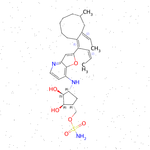 C\C=C/C(=C1/CCCCCC(C)C/C1=C/C)c1cc2nccc(N[C@@H]3C[C@H](COS(N)(=O)=O)[C@@H](O)[C@H]3O)c2o1